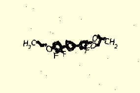 C=CC1COC(c2ccc(-c3ccc(-c4ccc(OCCCC)c(F)c4F)cc3)cc2F)OC1